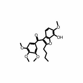 CCCCc1oc2c(O)c(OC)ccc2c1C(=O)c1cc(OC)c(OC)c(OC)c1